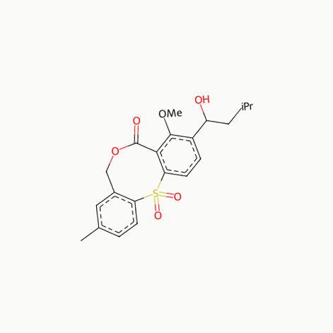 COc1c(C(O)CC(C)C)ccc2c1C(=O)OCc1cc(C)ccc1S2(=O)=O